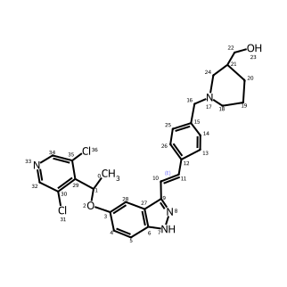 CC(Oc1ccc2[nH]nc(/C=C/c3ccc(CN4CCCC(CO)C4)cc3)c2c1)c1c(Cl)cncc1Cl